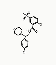 CS(=O)(=O)c1ccc(Cl)c(C(=O)NCC(c2ccc(Cl)cc2)N2CCOCC2)c1